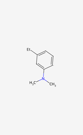 CCc1cc[c]c(N(C)C)c1